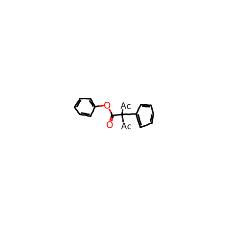 CC(=O)C(C(C)=O)(C(=O)Oc1ccccc1)c1ccccc1